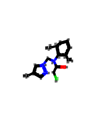 Cc1cnn(CN(C(=O)CCl)c2c(C)cccc2C)c1